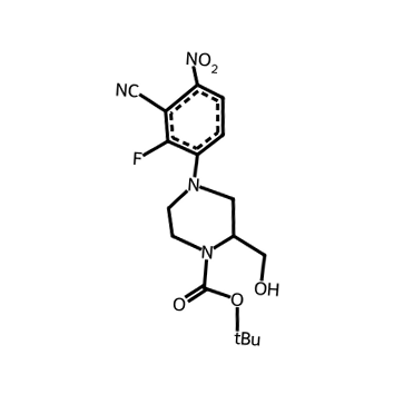 CC(C)(C)OC(=O)N1CCN(c2ccc([N+](=O)[O-])c(C#N)c2F)CC1CO